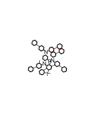 Cc1cc(-c2ccccc2)ccc1N1c2ccc(N(c3ccc(-c4ccccc4)cc3)c3ccc(-c4ccccc4)cc3)cc2B2c3c(cc4c(c31)-c1ccccc1C4(C)C)-c1cc(-c3ccccc3)ccc1N2c1cccc(-c2ccccc2)c1